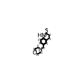 S=C1CCc2cc(CN3CCOCC3)ccc2N1